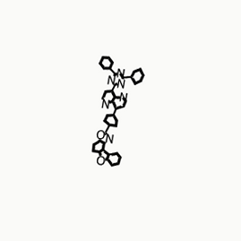 c1ccc(-c2nc(-c3ccccc3)nc(-c3ccnc4c(-c5ccc(-c6nc7c(ccc8oc9ccccc9c87)o6)cc5)ccnc34)n2)cc1